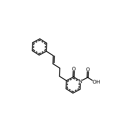 O=C(O)n1cccc(CCC=Cc2ccccc2)c1=O